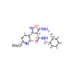 COc1ccc(-c2noc(N)c2C(=O)NCc2ccccc2C)cn1